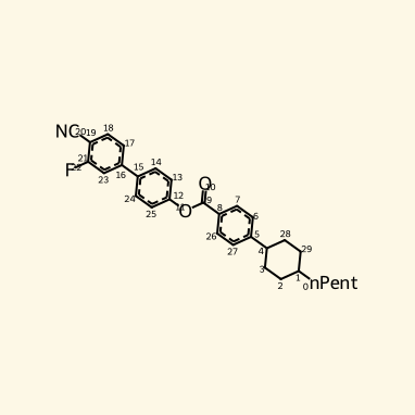 CCCCCC1CCC(c2ccc(C(=O)Oc3ccc(-c4ccc(C#N)c(F)c4)cc3)cc2)CC1